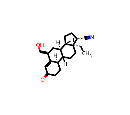 CC[C@]12CC[C@H]3[C@@H](C/C(=C\O)C4=CC(=O)CC[C@@H]43)[C@@H]1CC[C@@H]2C#N